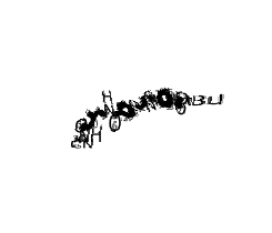 CC(CCNC(=O)c1ccc(OCc2csc(N3CCN(C(=O)OC(C)(C)C)CC3)n2)cc1)CC(=O)NCC#N